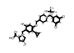 O=C(O)[C@@H]1C[C@@H](F)CN1Cc1cc(C2CC2)c(OCC2CCN([C@@H](c3cc(Cl)cc(Cl)c3)C(F)(F)F)CC2)cc1F